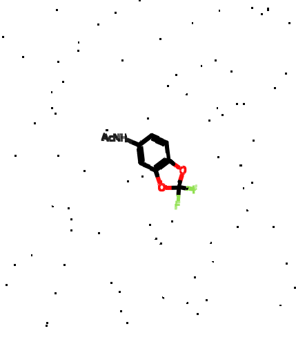 CC(=O)Nc1ccc2c(c1)OC(F)(F)O2